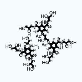 CC(=O)N(CC(O)CN(C(C)=O)c1c(I)c(C(=O)NCC(O)CO)c(I)c(C(=O)NCC(O)CO)c1I)c1c(I)c(C(=O)NCC(O)CO)c(I)c(C(=O)NCC(O)CO)c1I.CN(C(=O)CO)c1c(I)c(C(=O)NCC(O)CO)c(I)c(C(=O)NCC(O)CO)c1I